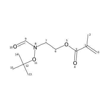 C=C(C)C(=O)OCCN(C=O)OC(C)(C)C